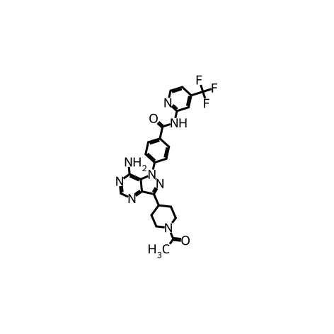 CC(=O)N1CCC(c2nn(-c3ccc(C(=O)Nc4cc(C(F)(F)F)ccn4)cc3)c3c(N)ncnc23)CC1